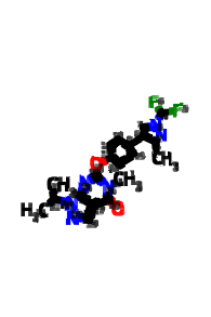 Cc1nn(C(F)F)cc1-c1ccc(Oc2nc3c(cnn3C(C)C)c(=O)n2C)cc1